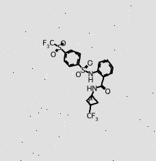 O=C(NC12CC(C(F)(F)F)(C1)C2)c1ccccc1NS(=O)(=O)c1ccc(S(=O)(=O)C(F)(F)F)cc1